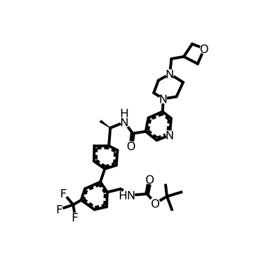 C[C@@H](NC(=O)c1cncc(N2CCN(CC3COC3)CC2)c1)c1ccc(-c2cc(C(F)(F)F)ccc2CNC(=O)OC(C)(C)C)cc1